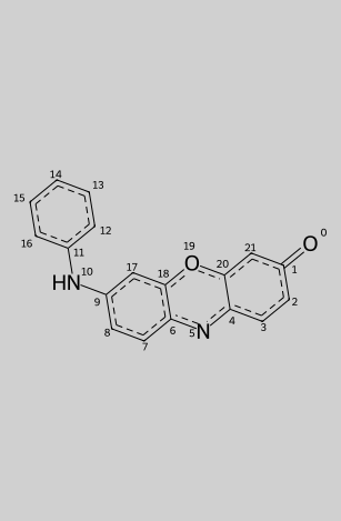 O=c1ccc2nc3ccc(Nc4ccccc4)cc3oc-2c1